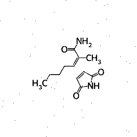 CCCCC=C(C)C(N)=O.O=C1C=CC(=O)N1